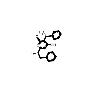 CC[C@@H](Cc1ccccc1)c1cc(O)c([C@H](C)c2ccccc2)c(=O)o1